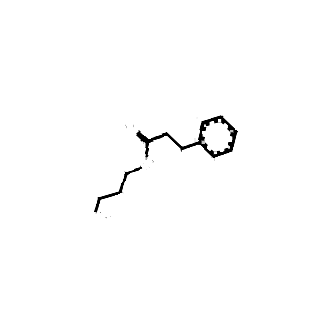 CCCCCCCCCCCCSC(=O)CCc1ccccc1